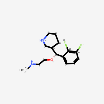 O=C(O)NCCO[C@@H](c1cccc(F)c1F)C1CCCNC1